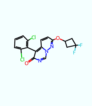 O=c1ncn2nc(OC3CC(F)(F)C3)ccc2c1-c1c(Cl)cccc1Cl